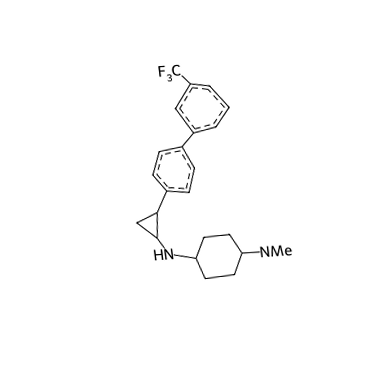 CNC1CCC(NC2CC2c2ccc(-c3cccc(C(F)(F)F)c3)cc2)CC1